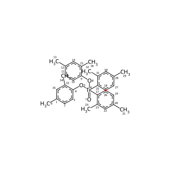 Cc1ccc([O][Ti](=[O])([O]c2ccc(C)cc2C)([c]2ccc(C)cc2C)[c]2ccc(C)cc2C)c(C)c1